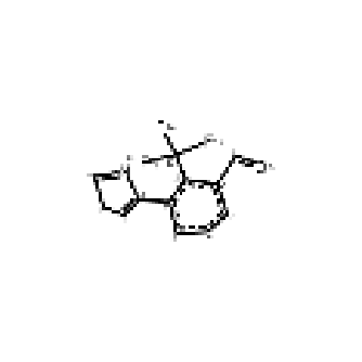 O=Cc1cccc(C2=CCC=N2)c1C(F)(F)F